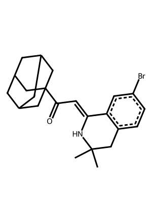 CC1(C)Cc2ccc(Br)cc2C(=CC(=O)C23CC4CC(CC(C4)C2)C3)N1